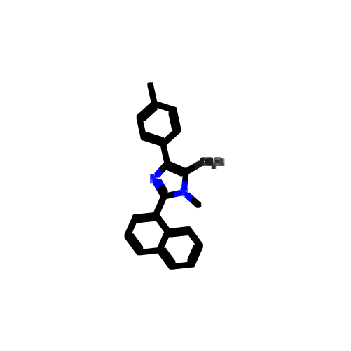 CCOC(=O)c1c(-c2ccc(C)cc2)nc(-c2cccc3ccccc23)n1C